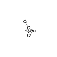 Cc1[nH]nc(-c2ccc(OCc3ccccc3)cc2O)c1Oc1ccccc1